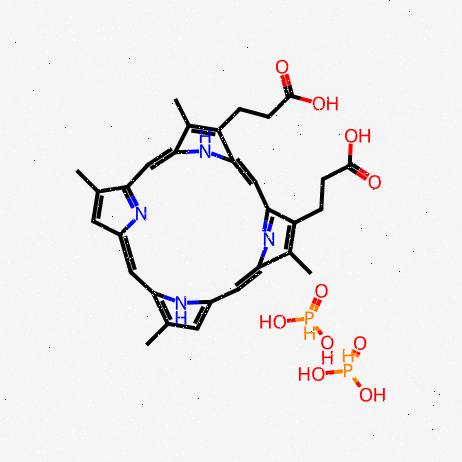 CC1=Cc2cc3[nH]c(cc4nc(cc5[nH]c(cc1n2)c(C)c5CCC(=O)O)C(CCC(=O)O)=C4C)cc3C.O=[PH](O)O.O=[PH](O)O